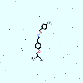 CC(=O)CC(C)COc1ccc(CC=NOCc2ccc(C(F)(F)F)cc2)cc1